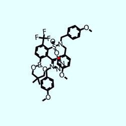 COc1ccc(CN(Cc2ccc(OC)cc2)S(=O)(=O)c2c(C(F)(F)F)ccc(B3OCC(C)(C)CO3)c2-c2nnnn2Cc2ccc(OC)cc2)cc1